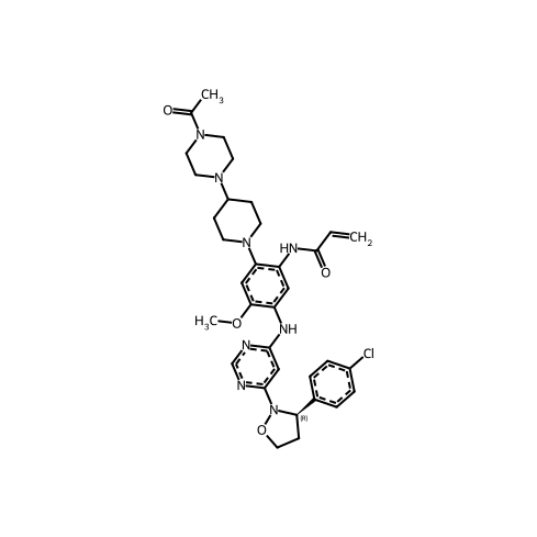 C=CC(=O)Nc1cc(Nc2cc(N3OCC[C@@H]3c3ccc(Cl)cc3)ncn2)c(OC)cc1N1CCC(N2CCN(C(C)=O)CC2)CC1